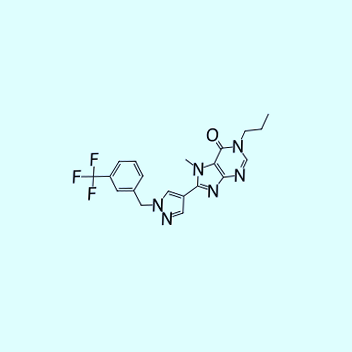 CCCn1cnc2nc(-c3cnn(Cc4cccc(C(F)(F)F)c4)c3)n(C)c2c1=O